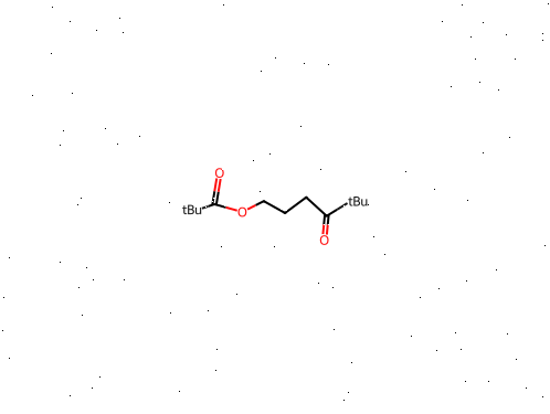 CC(C)(C)C(=O)CCCOC(=O)C(C)(C)C